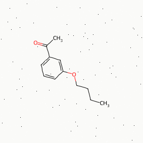 CCCCOc1cccc(C(C)=O)c1